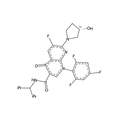 CC(C)C(NC(=O)c1cn(-c2c(F)cc(F)cc2F)c2nc(N3CC[C@H](O)C3)c(F)cc2c1=O)C(C)C